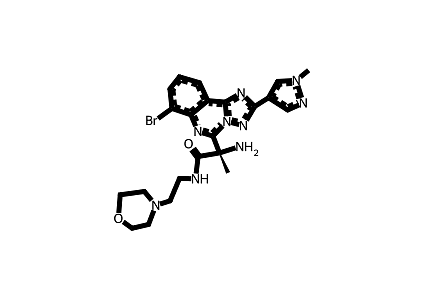 Cn1cc(-c2nc3c4cccc(Br)c4nc([C@](C)(N)C(=O)NCCN4CCOCC4)n3n2)cn1